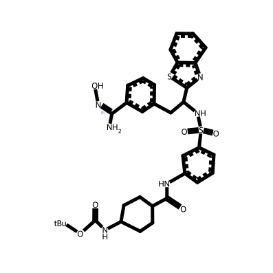 CC(C)(C)OC(=O)NC1CCC(C(=O)Nc2cccc(S(=O)(=O)NC(Cc3cccc(/C(N)=N\O)c3)c3nc4ccccc4s3)c2)CC1